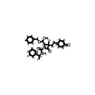 COC(OCc1ccccc1)C1N(C(=O)NC(C)c2ccccc2)C(=O)C1(C)CCc1ccc(Cl)cc1